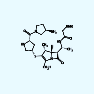 CNCC(=O)N[C@H](C)[C@H]1C(=O)N2C(C(=O)O)=C(S[C@@H]3CN[C@H](C(=O)N4CC[C@@H](N)C4)C3)[C@H](C)[C@H]12